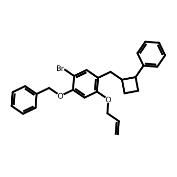 C=CCOc1cc(OCc2ccccc2)c(Br)cc1CC1CCC1c1ccccc1